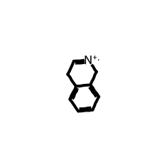 C1=[N+]Cc2ccccc2C1